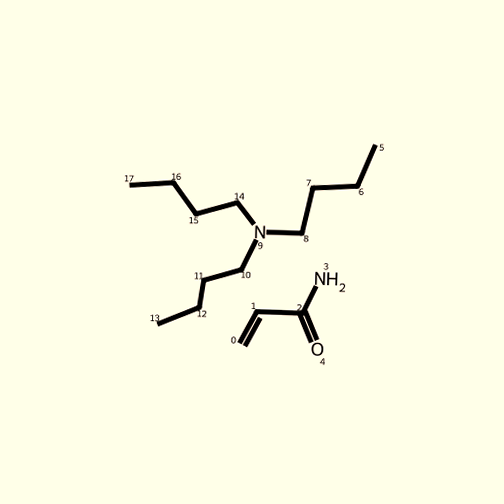 C=CC(N)=O.CCCCN(CCCC)CCCC